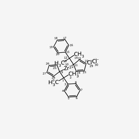 CC(C)(c1ccccc1)[C]1([Zr+2][C]2(C(C)(C)c3ccccc3)C=CC=C2)C=CC=C1.[Cl-].[Cl-]